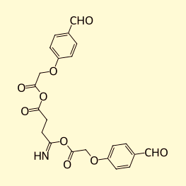 N=C(CCC(=O)OC(=O)COc1ccc(C=O)cc1)OC(=O)COc1ccc(C=O)cc1